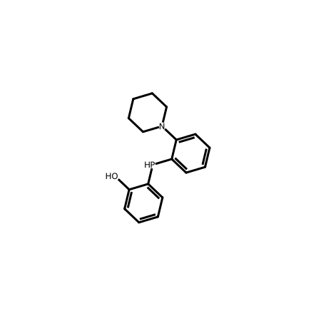 Oc1ccccc1Pc1ccccc1N1CCCCC1